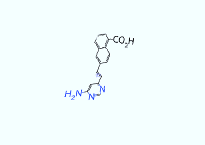 Nc1cc(/C=C/c2ccc3c(C(=O)O)cccc3c2)ncn1